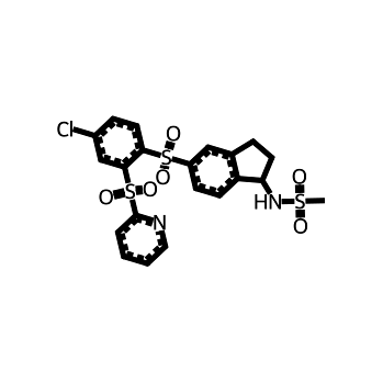 CS(=O)(=O)NC1CCc2cc(S(=O)(=O)c3ccc(Cl)cc3S(=O)(=O)c3ccccn3)ccc21